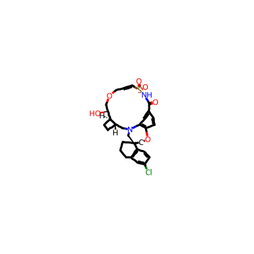 O=C1NS(=O)(=O)/C=C/COC[C@H](O)[C@@H]2CC[C@H]2CN2C[C@@]3(CCCc4cc(Cl)ccc43)COc3ccc1cc32